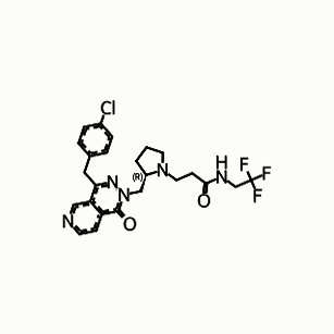 O=C(CCN1CCC[C@@H]1Cn1nc(Cc2ccc(Cl)cc2)c2cnccc2c1=O)NCC(F)(F)F